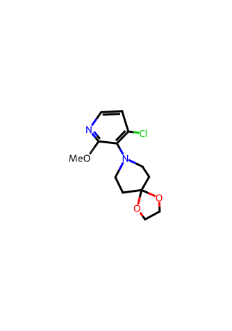 COc1nccc(Cl)c1N1CCC2(CC1)OCCO2